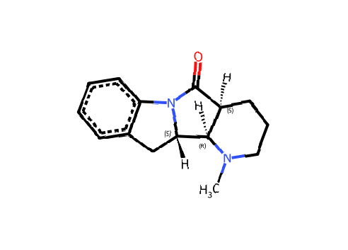 CN1CCC[C@@H]2C(=O)N3c4ccccc4C[C@H]3[C@@H]21